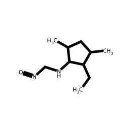 CCC1C(C)CC(C)C1NCN=O